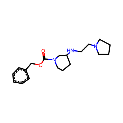 O=C(OCc1ccccc1)N1CCCC(NCCN2CCCC2)C1